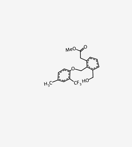 COC(=O)Cc1cccc(CO)c1COc1ccc(C)cc1C(F)(F)F